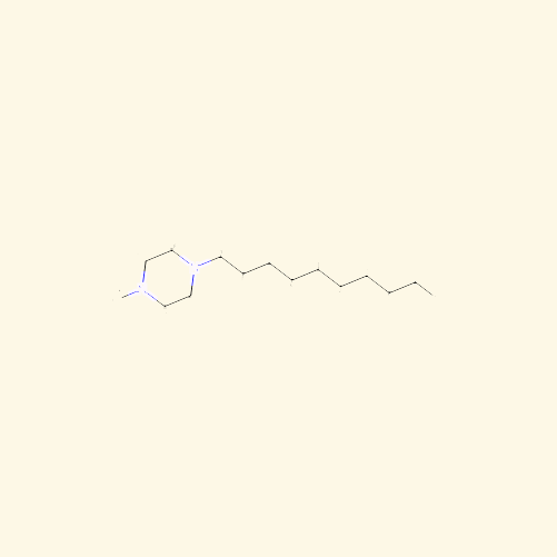 [CH2]CCCCCCCCCN1CCN(C)CC1